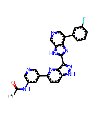 CC(C)C(=O)Nc1cncc(-c2ccc3[nH]nc(-c4nc5c(-c6cccc(F)c6)cncc5[nH]4)c3n2)c1